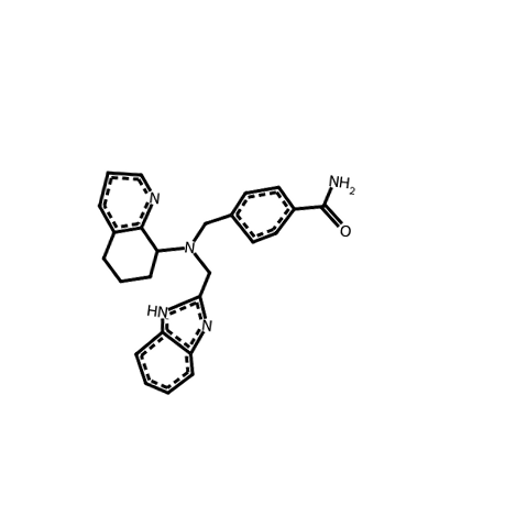 NC(=O)c1ccc(CN(Cc2nc3ccccc3[nH]2)C2CCCc3cccnc32)cc1